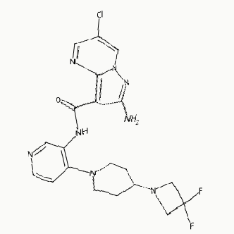 Nc1nn2cc(Cl)cnc2c1C(=O)Nc1cnccc1N1CCC(N2CC(F)(F)C2)CC1